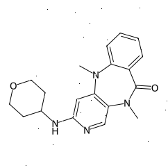 CN1C(=O)c2ccccc2N(C)c2cc(NC3CCOCC3)ncc21